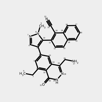 CCc1cc(-c2cnn(C)c2-c2ccc3ccccc3c2C#N)cc2c(CN)n[nH]c(=O)c12